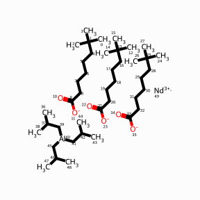 CC(C)(C)CCCCCC(=O)[O-].CC(C)(C)CCCCCC(=O)[O-].CC(C)(C)CCCCCC(=O)[O-].CC(C)[CH2][Al]([CH2]C(C)C)[CH2]C(C)C.[Nd+3]